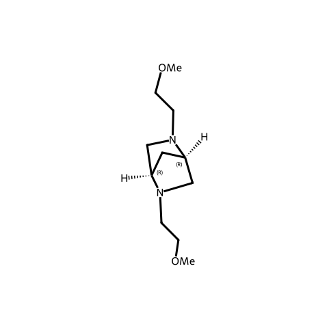 COCCN1C[C@H]2C[C@@H]1CN2CCOC